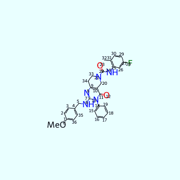 COc1ccc(CNc2nc3c(c(=O)n2-c2ccccc2)CN(C(=O)Nc2cc(F)ccc2C)CC3)cc1